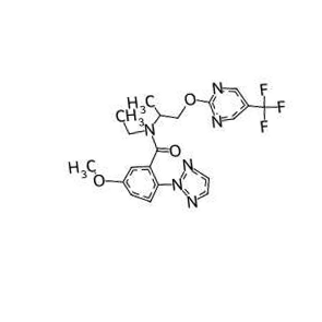 CCN(C(=O)c1cc(OC)ccc1-n1nccn1)C(C)COc1ncc(C(F)(F)F)cn1